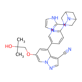 CC(C)(O)COc1cc(-c2ccc(N3CC4CC(C3)N4Cc3ncc[nH]3)nc2)c2c(C#N)cnn2c1